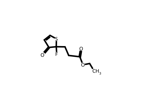 CCOC(=O)CCC1(F)SC=CC1=O